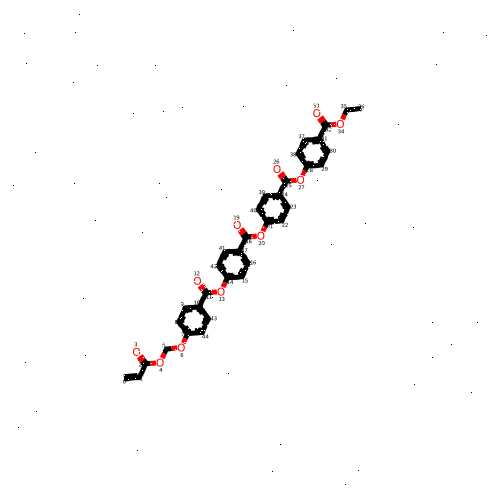 C=CC(=O)OCOc1ccc(C(=O)Oc2ccc(C(=O)Oc3ccc(C(=O)Oc4ccc(C(=O)OCC)cc4)cc3)cc2)cc1